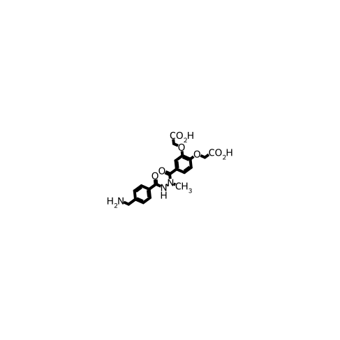 CN(NC(=O)c1ccc(CN)cc1)C(=O)c1ccc(OCC(=O)O)c(OCC(=O)O)c1